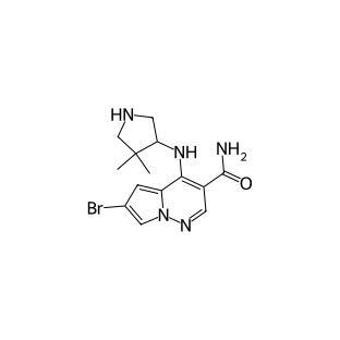 CC1(C)CNCC1Nc1c(C(N)=O)cnn2cc(Br)cc12